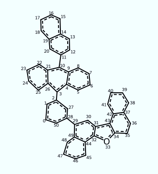 c1cc(-c2c3ccccc3c(-c3ccc4ccccc4c3)c3ccccc23)cc(-c2cc3c(oc4ccc5ccccc5c43)c3ccccc23)c1